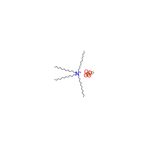 CCCCCCCCCCCC[N+](CCCCCCCCCCCC)(CCCCCCCCCCCC)CCCCCCCCCCCC.[O-][Cl+3]([O-])([O-])[O-]